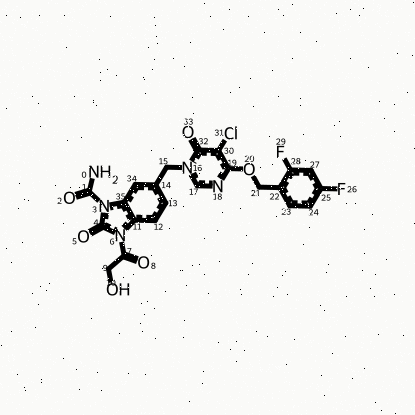 NC(=O)n1c(=O)n(C(=O)CO)c2ccc(Cn3cnc(OCc4ccc(F)cc4F)c(Cl)c3=O)cc21